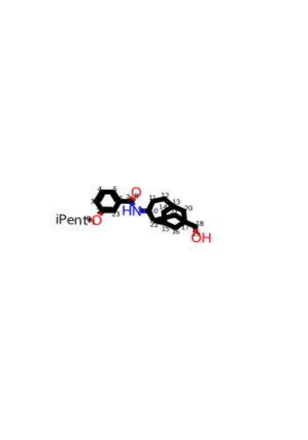 CCCC(C)Oc1cccc(C(=O)NC2CCC3CC4CC(CO)(C3)CC42)c1